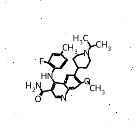 COc1cc2ncc(C(N)=O)c(Nc3ccc(C)cc3F)c2cc1C1CCN(C(C)C)CC1